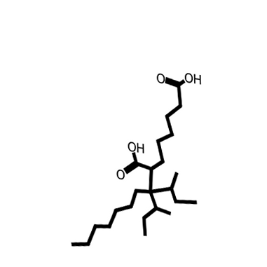 CCCCCCCC(C(C)CC)(C(C)CC)C(CCCCCC(=O)O)C(=O)O